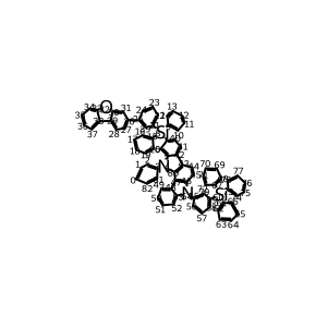 c1ccc(-n2c3cc([Si](c4ccccc4)(c4ccccc4)c4cccc(-c5ccc6c(c5)oc5ccccc56)c4)ccc3c3ccc4c(c5ccccc5n4-c4cccc([Si](c5ccccc5)(c5ccccc5)c5ccccc5)c4)c32)cc1